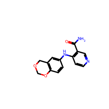 NC(=O)c1cnccc1Nc1ccc2c(c1)COCO2